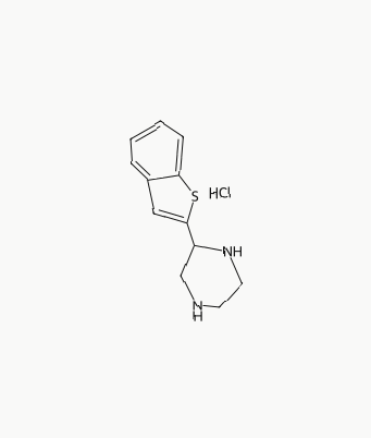 Cl.c1ccc2sc(C3CNCCN3)cc2c1